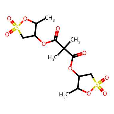 CC1OS(=O)(=O)CC1OC(=O)C(C)(C)C(=O)OC1CS(=O)(=O)OC1C